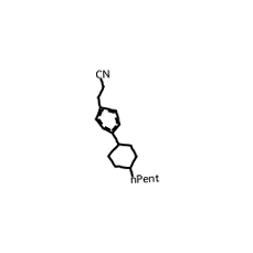 CCCCCC1CCC(c2ccc(CCC#N)cc2)CC1